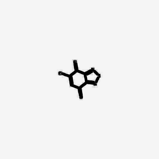 O=C1C=C(Cl)C(=O)c2nsnc21